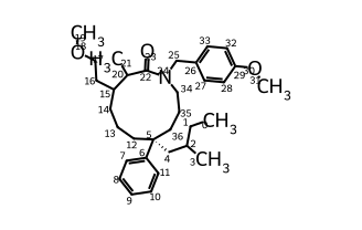 CCC(C)C[C@]1(c2ccccc2)CCCC(CCOC)C(C)C(=O)N(Cc2ccc(OC)cc2)CCC1